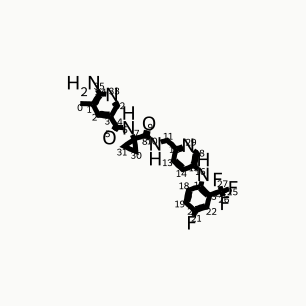 Cc1cc(C(=O)NC2(C(=O)NCc3ccc(Nc4ccc(F)cc4C(F)(F)F)cn3)CC2)cnc1N